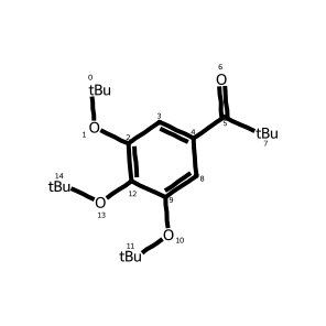 CC(C)(C)Oc1cc(C(=O)C(C)(C)C)cc(OC(C)(C)C)c1OC(C)(C)C